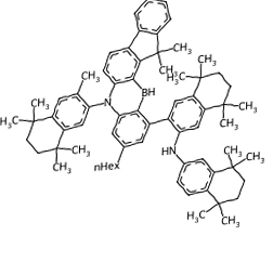 CCCCCCc1cc(-c2cc3c(cc2Nc2ccc4c(c2)C(C)(C)CCC4(C)C)C(C)(C)CCC3(C)C)c2c(c1)N(c1cc3c(cc1C)C(C)(C)CCC3(C)C)c1ccc3c(c1B2)C(C)(C)c1ccccc1-3